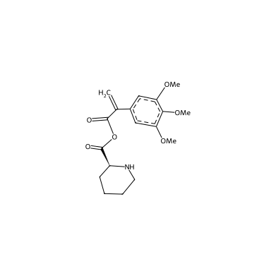 C=C(C(=O)OC(=O)[C@@H]1CCCCN1)c1cc(OC)c(OC)c(OC)c1